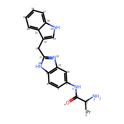 CC(C)C(N)C(=O)Nc1ccc2[nH]c(Cc3c[nH]c4ccccc34)nc2c1